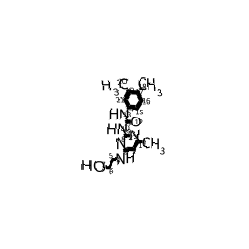 Cc1cc(NCCO)nc(NC(=O)Nc2ccc(C)c(C)c2)n1